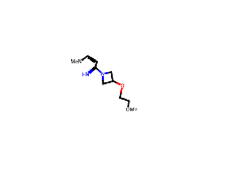 CN/C=C\C(=N)N1CC(OCCOC)C1